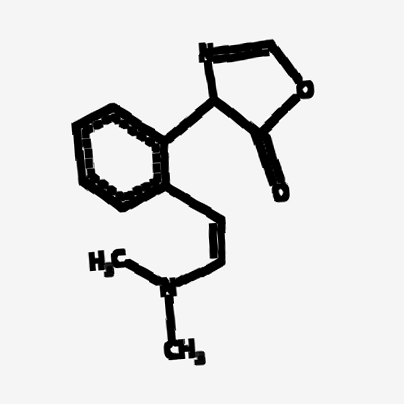 CN(C)/C=C\c1ccccc1C1N=COC1=O